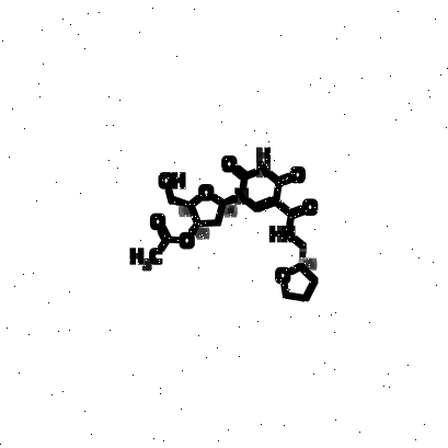 CC(=O)O[C@@H]1C[C@H](n2cc(C(=O)NC[C@@H]3CCCO3)c(=O)[nH]c2=O)O[C@@H]1CO